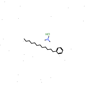 CCCCCCCCCCCCc1ccccc1.CN(C)C.Cl